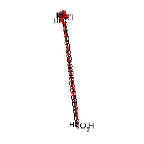 Cc1sc2c(c1C)C(c1ccc(Cl)cc1)=N[C@@H](CC(=O)Nc1ccc(OCCOCCOCCOCCOCCOCCOCCOCCOCCOCCOCCOCCOCCOCCOCCOCCOCCOCCOCCOCCOCCOCCOCCOCCOCCOCCOCCOCCOCCNC(=O)O)cc1)c1nnc(C)n1-2